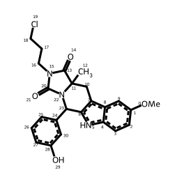 COc1ccc2[nH]c3c(c2c1)CC1(C)C(=O)N(CCCCl)C(=O)N1C3c1cccc(O)c1